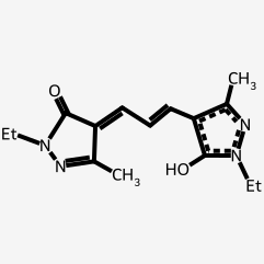 CCN1N=C(C)/C(=C\C=C\c2c(C)nn(CC)c2O)C1=O